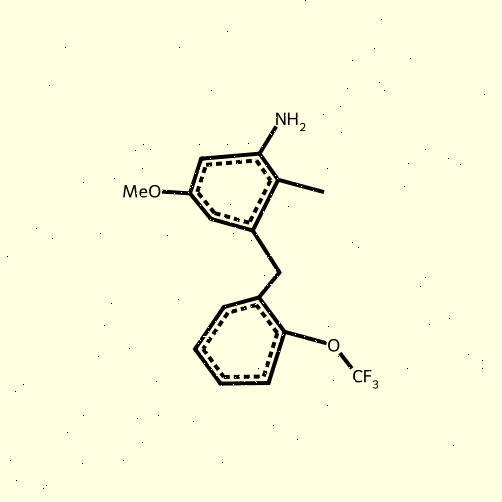 COc1cc(N)c(C)c(Cc2ccccc2OC(F)(F)F)c1